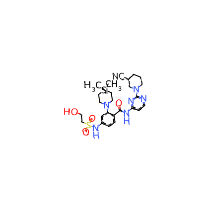 C[Si]1(C)CCN(c2cc(NS(=O)(=O)CCO)ccc2C(=O)Nc2ccnc(N3CCCC(C#N)C3)n2)CC1